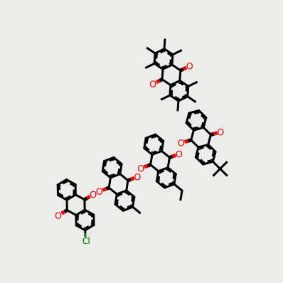 CC(C)(C)c1ccc2c(c1)C(=O)c1ccccc1C2=O.CCc1ccc2c(c1)C(=O)c1ccccc1C2=O.Cc1c(C)c(C)c2c(c1C)C(=O)c1c(C)c(C)c(C)c(C)c1C2=O.Cc1ccc2c(c1)C(=O)c1ccccc1C2=O.O=C1c2ccccc2C(=O)c2cc(Cl)ccc21